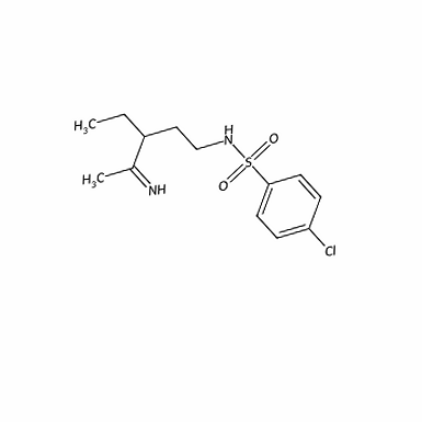 CCC(CCNS(=O)(=O)c1ccc(Cl)cc1)C(C)=N